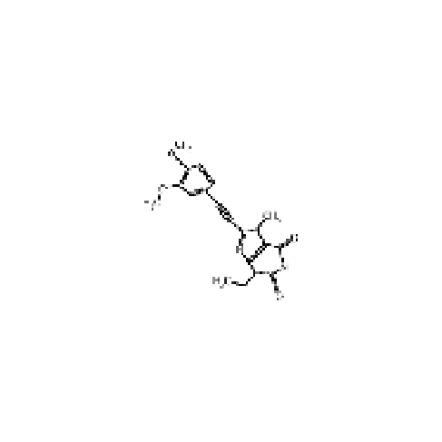 CCn1c(=O)[nH]c(=O)c2c1nc(C#Cc1ccc(OC)c(OC)c1)n2C